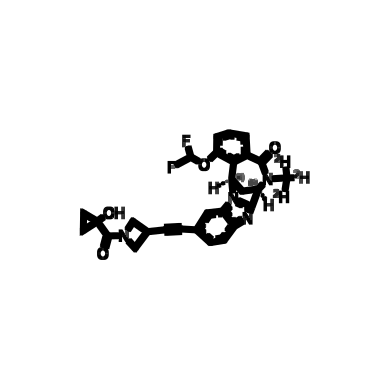 [2H]C([2H])([2H])N1C(=O)c2cccc(OC(F)F)c2[C@H]2C[C@@H]1c1nc3ccc(C#CC4CN(C(=O)C5(O)CC5)C4)cc3n12